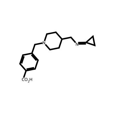 O=C(O)c1ccc(CN2CCC(CN=C3CC3)CC2)cc1